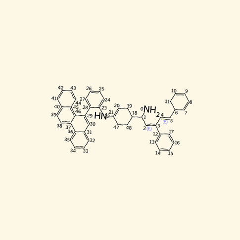 NC(/C=C(\C=C\C1C=CC=CC1)c1ccccc1)C1CC=C(Nc2ccccc2-c2cc3ccccc3c3ccc4ccccc4c23)CC1